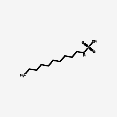 CCCCCCCCCCNS(=O)(=O)O